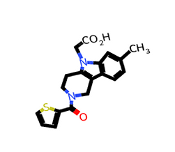 Cc1ccc2c3c(n(CC(=O)O)c2c1)CCN(C(=O)c1cccs1)C3